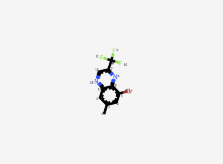 Cc1cc(Br)c2nc(C(F)(F)F)cnc2c1